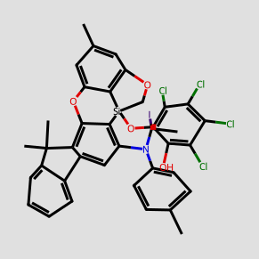 Cc1ccc(N(c2cc3c(c4c2[Si]2(Oc5c(O)c(Cl)c(Cl)c(Cl)c5Cl)COc5cc(C)cc(c52)O4)C(C)(C)c2ccccc2-3)C(C)I)cc1